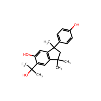 CC1(C)CC(C)(c2ccc(O)cc2)c2cc(O)c(C(C)(O)C(F)(F)F)cc21